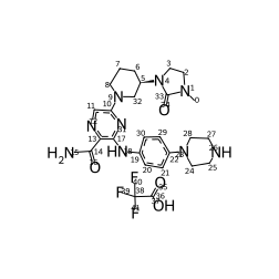 CN1CCN([C@@H]2CCCN(c3cnc(C(N)=O)c(Nc4ccc(N5CCNCC5)cc4)n3)C2)C1=O.O=C(O)C(F)(F)F